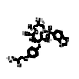 CC(C)CN(C[C@@H](O)[C@H](Cc1ccc(OCC(N)=O)cc1)NC(=O)O)S(=O)(=O)c1ccc2c(c1)OCO2